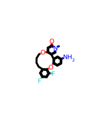 Cn1cc2c(cc1=O)OCCCCc1cc(F)cc(F)c1Oc1ccc(N)cc1-2